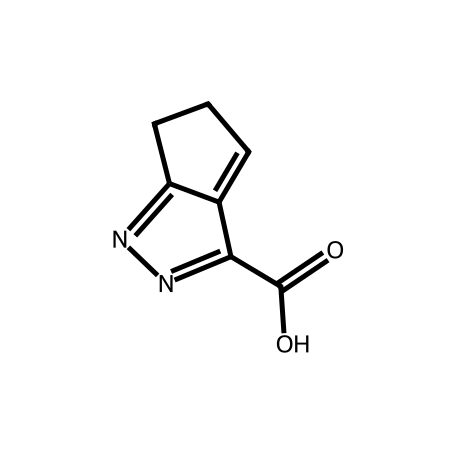 O=C(O)C1=NN=C2CCC=C21